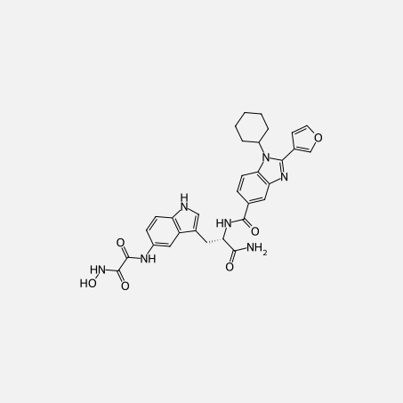 NC(=O)[C@H](Cc1c[nH]c2ccc(NC(=O)C(=O)NO)cc12)NC(=O)c1ccc2c(c1)nc(-c1ccoc1)n2C1CCCCC1